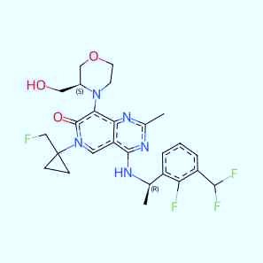 Cc1nc(N[C@H](C)c2cccc(C(F)F)c2F)c2cn(C3(CF)CC3)c(=O)c(N3CCOC[C@@H]3CO)c2n1